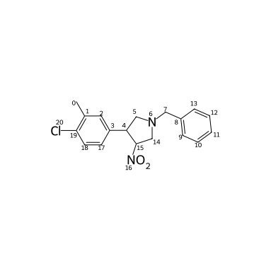 Cc1cc(C2CN(Cc3ccccc3)CC2[N+](=O)[O-])ccc1Cl